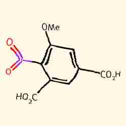 COc1cc(C(=O)O)cc(C(=O)O)c1I(=O)=O